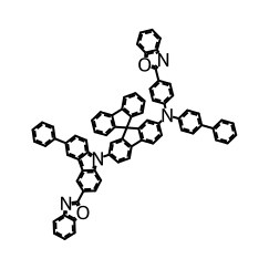 c1ccc(-c2ccc(N(c3ccc(-c4nc5ccccc5o4)cc3)c3ccc4c(c3)C3(c5ccccc5-c5ccccc53)c3cc(-n5c6ccc(-c7ccccc7)cc6c6cc(-c7nc8ccccc8o7)ccc65)ccc3-4)cc2)cc1